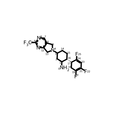 NC1CC(N2Cc3cnc(C(F)(F)F)nc3C2)CC[C@@H]1C1CC(F)=C(F)C=C1F